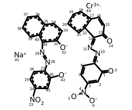 O=C1C=C(N([O-])[O-])C=CC1=NN=C1C(=O)C=Cc2ccccc21.O=[N+]([O-])c1ccc(N=Nc2c([O-])ccc3ccccc23)c([O-])c1.[Cr+3].[Na+]